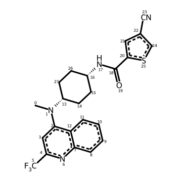 CN(c1cc(C(F)(F)F)nc2ccccc12)[C@H]1CC[C@@H](NC(=O)c2cc(C#N)cs2)CC1